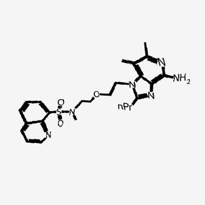 CCCc1nc2c(N)nc(C)c(C)c2n1CCOCCN(C)S(=O)(=O)c1cccc2cccnc12